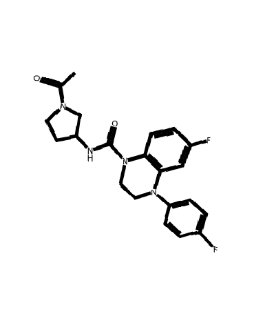 CC(=O)N1CCC(NC(=O)N2CCN(c3ccc(F)cc3)c3cc(F)ccc32)C1